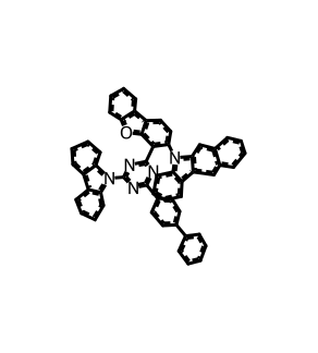 c1ccc(-c2ccc(-c3nc(-c4c(-n5c6ccccc6c6cc7ccccc7cc65)ccc5c4oc4ccccc45)nc(-n4c5ccccc5c5ccccc54)n3)cc2)cc1